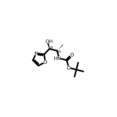 C[C@H](NC(=O)OC(C)(C)C)[C@H](O)c1ncco1